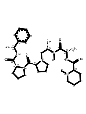 CC(C)[C@@H](CN1CCC[C@H]1C(=O)N1CCC[C@H]1C(=O)O[C@H](C)c1ccccc1)N(C)C(=O)[C@@H](NC(=O)C1CCCCN1C)C(C)(C)C